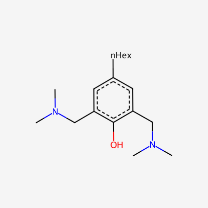 CCCCCCc1cc(CN(C)C)c(O)c(CN(C)C)c1